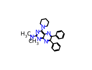 CN(C)c1nc(N2CCCCC2)c2nc(-c3ccccc3)c(-c3ccccc3)nc2n1